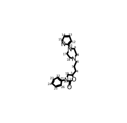 O=C1OC(CCCN2CCN(c3ccccn3)CC2)CN1c1ccccc1